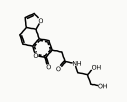 O=C(Cc1cc2c(oc1=O)C=CC1C=COC21)NCC(O)CO